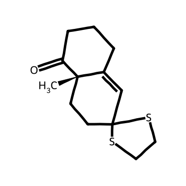 C[C@]12CCC3(C=C1CCCC2=O)SCCS3